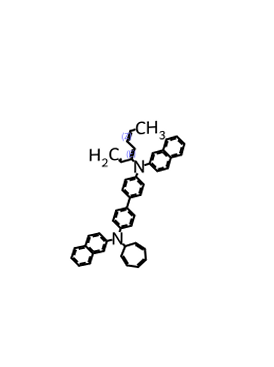 C=C/C(=C\C=C/C)N(c1ccc(-c2ccc(N(c3ccc4ccccc4c3)C3C=CC=CC=C3)cc2)cc1)c1ccc2ccccc2c1